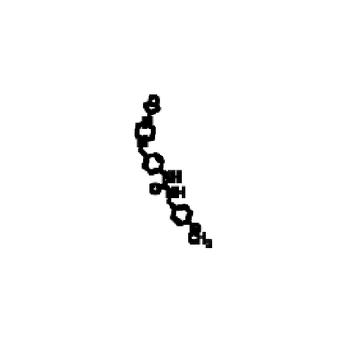 COc1ccc(CNC(=O)Nc2ccc(CN3CCN(C4COC4)CC3)cc2)cc1